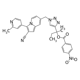 CCC(C)(OC(=O)c1ccc([N+](=O)[O-])cc1)c1cn(Cc2ccn3c(-c4ccnc(C)c4)c(C#N)cc3c2)nn1